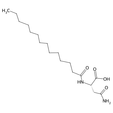 CCCCCCCCCCCCCC(=O)N[C@@H](CC(N)=O)C(=O)O